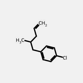 C=CCC(C)Cc1ccc(Cl)cc1